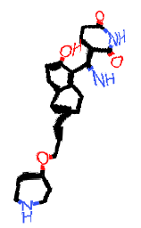 N=C(c1c(O)ccc2cc(C#CCOC3CCNCC3)ccc12)C1CCC(=O)NC1=O